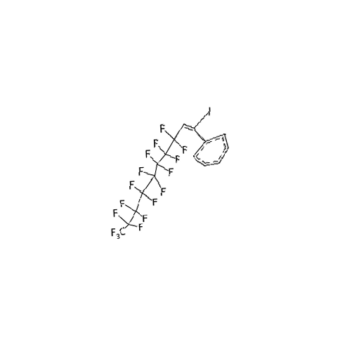 FC(F)(F)C(F)(F)C(F)(F)C(F)(F)C(F)(F)C(F)(F)C(F)(F)C(F)(F)/C=C(/I)c1ccccc1